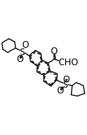 O=CC(=O)c1c2ccc(S(=O)(=O)C3CCCCC3)cc2cc2ccc(S(=O)(=O)C3CCCCC3)cc12